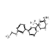 CCOc1cccc(-c2cccc(C3(C)COCC(N)=N3)c2)c1